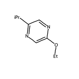 CCOc1cnc(C(C)C)cn1